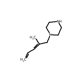 C=C/C=C(\C)CN1CCNCC1